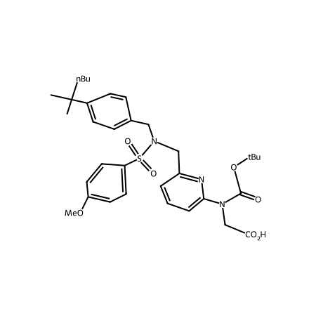 CCCCC(C)(C)c1ccc(CN(Cc2cccc(N(CC(=O)O)C(=O)OC(C)(C)C)n2)S(=O)(=O)c2ccc(OC)cc2)cc1